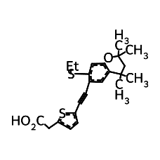 CCSc1cc2c(cc1C#Cc1ccc(CC(=O)O)s1)C(C)(C)CC(C)(C)O2